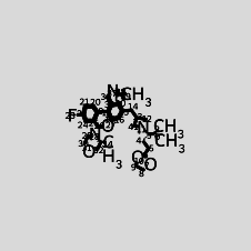 CC(C)[C@H](CCC1OCCO1)N1CC(Cc2ccc(-c3ccc(F)cc3C(=O)N3CCOC[C@H]3C)c3cnn(C)c23)C1